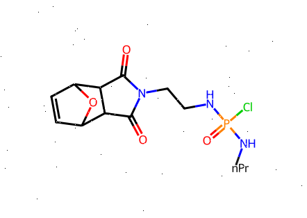 CCCNP(=O)(Cl)NCCN1C(=O)C2C3C=CC(O3)C2C1=O